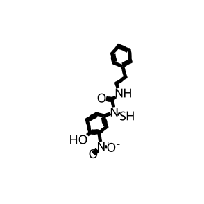 O=C(NCCc1ccccc1)N(S)c1ccc(O)c([N+](=O)[O-])c1